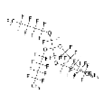 FC(F)(F)C(F)(F)C(F)(F)C(F)(F)C(F)(F)OC(F)(F)C(OC(F)(F)C(F)(F)C(F)(F)C(F)(F)C(F)(F)F)(OC(F)(F)C(F)(F)C(F)(F)C(F)(F)C(F)(F)F)C(F)(F)OC(F)(F)C(F)(F)C(F)(F)C(F)(F)C(F)(F)F